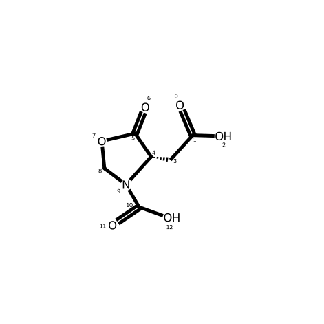 O=C(O)C[C@H]1C(=O)OCN1C(=O)O